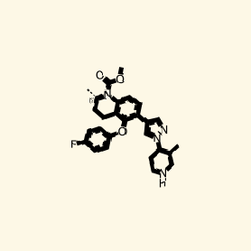 COC(=O)N1c2ccc(-c3cnn(C4CCNCC4C)c3)c(Oc3ccc(F)cc3)c2CC[C@@H]1C